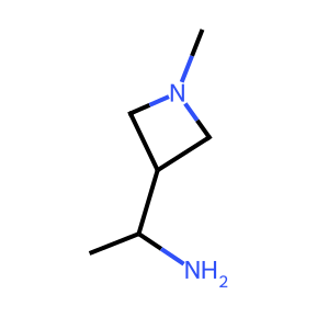 CC(N)C1CN(C)C1